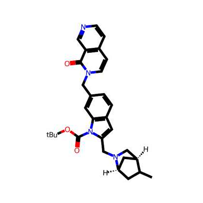 CC1C[C@@H]2C[C@H]1CN2Cc1cc2ccc(Cn3ccc4ccncc4c3=O)cc2n1C(=O)OC(C)(C)C